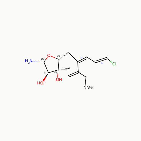 C=C(CNC)/C(=C\C=C\Cl)C[C@H]1O[C@@H](N)[C@H](O)[C@]1(C)O